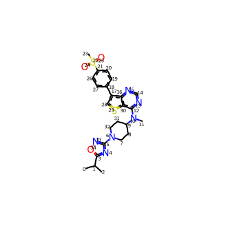 CC(C)c1nc(N2CCC(N(C)c3ncnc4c(-c5ccc(S(C)(=O)=O)cc5)csc34)CC2)no1